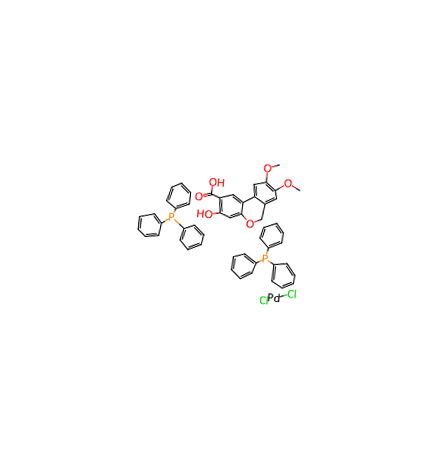 COc1cc2c(cc1OC)-c1cc(C(=O)O)c(O)cc1OC2.[Cl][Pd][Cl].c1ccc(P(c2ccccc2)c2ccccc2)cc1.c1ccc(P(c2ccccc2)c2ccccc2)cc1